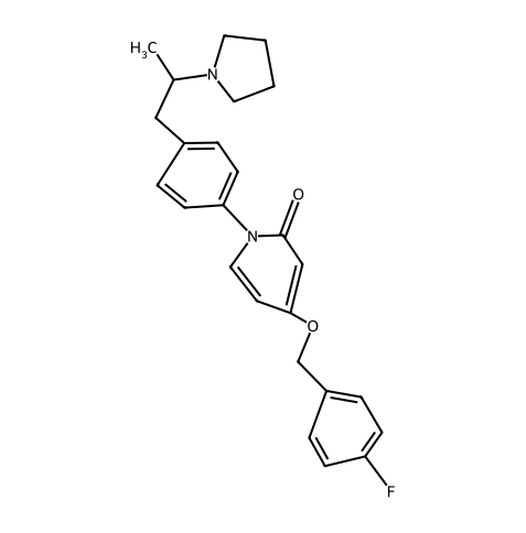 CC(Cc1ccc(-n2ccc(OCc3ccc(F)cc3)cc2=O)cc1)N1CCCC1